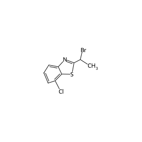 CC(Br)c1nc2cccc(Cl)c2s1